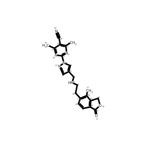 Cc1nc(-n2cc(CNCCc3ccc4c(c3C)COC4=O)cn2)nc(C)c1C#N